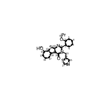 CC(C)Oc1ccccc1-c1nc2sc3c(O)cccc3c2c(=O)n1Cc1cncs1